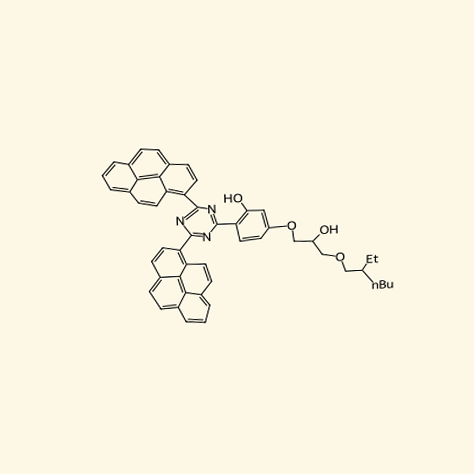 CCCCC(CC)COCC(O)COc1ccc(-c2nc(-c3ccc4ccc5cccc6ccc3c4c56)nc(-c3ccc4ccc5cccc6ccc3c4c56)n2)c(O)c1